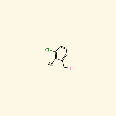 CC(=O)c1c(Cl)cccc1CI